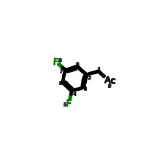 CC(=O)Cc1cc(F)cc(F)c1